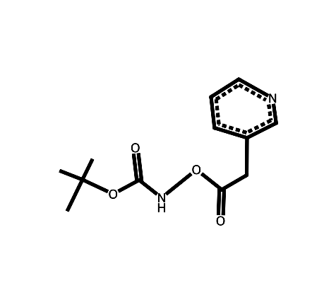 CC(C)(C)OC(=O)NOC(=O)Cc1cccnc1